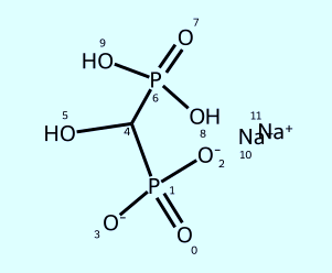 O=P([O-])([O-])C(O)P(=O)(O)O.[Na+].[Na+]